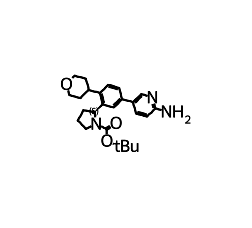 CC(C)(C)OC(=O)N1CCC[C@H]1c1cc(-c2ccc(N)nc2)ccc1C1CCOCC1